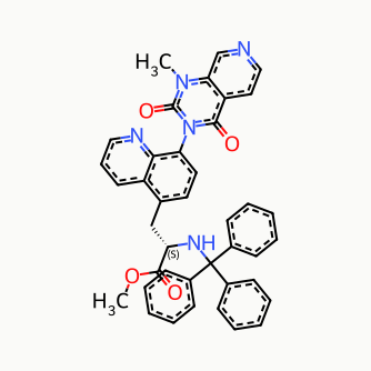 COC(=O)[C@H](Cc1ccc(-n2c(=O)c3ccncc3n(C)c2=O)c2ncccc12)NC(c1ccccc1)(c1ccccc1)c1ccccc1